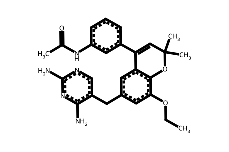 CCOc1cc(Cc2cnc(N)nc2N)cc2c1OC(C)(C)C=C2c1cccc(NC(C)=O)c1